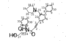 O=C(C#Cc1ccc(-c2ccccc2)c(CN2CCCCC2)c1)N(C[C@@H](O)CO)c1ccccc1